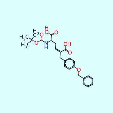 CC(C)(C)OC(=O)NC(CC=C(Cc1ccc(OCc2ccccc2)cc1)C(=O)O)C(=O)O